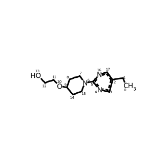 CCc1cnc(N2CCC(OCCO)CC2)nc1